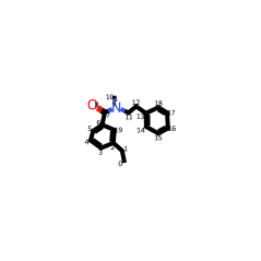 CCc1cccc(C(=O)N(C)CCc2ccccc2)c1